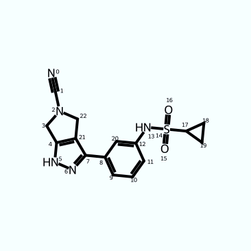 N#CN1Cc2[nH]nc(-c3cccc(NS(=O)(=O)C4CC4)c3)c2C1